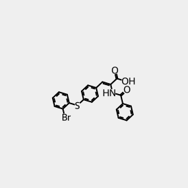 O=C(O)C(=Cc1ccc(Sc2ccccc2Br)cc1)NC(=O)c1ccccc1